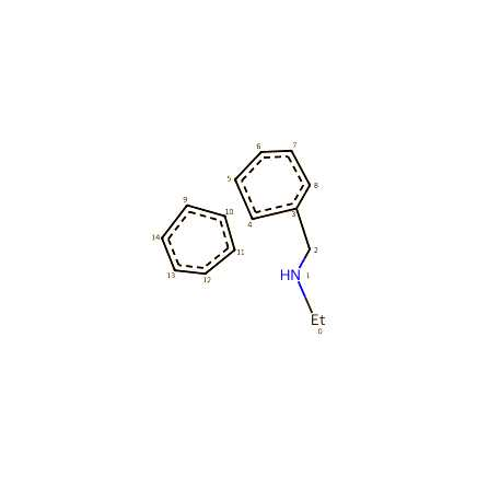 CCNCc1ccccc1.c1ccccc1